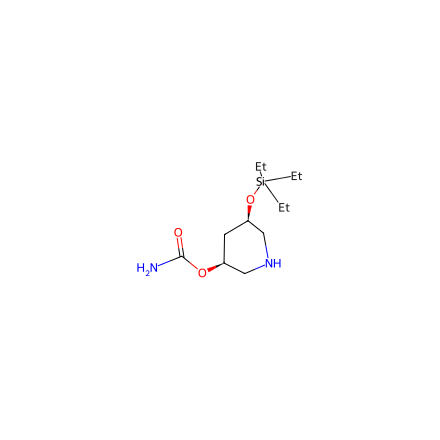 CC[Si](CC)(CC)O[C@H]1CNC[C@@H](OC(N)=O)C1